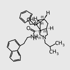 CCN1C[C@@H]2C[C@H]3CN(CC(C)C)[C@@H]([C@@H]2Cc2ccccc2)[C@]31C(=O)NCCc1cccc2ccccc12